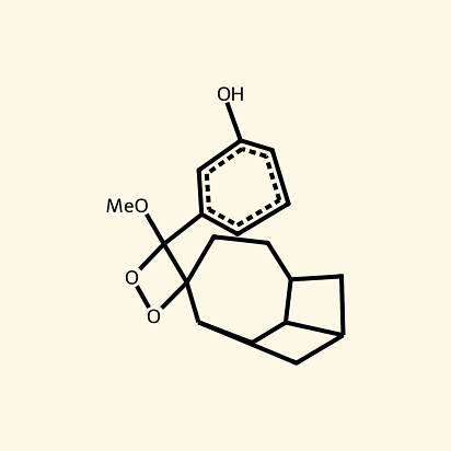 COC1(c2cccc(O)c2)OOC12CCC1CC3CC2CC13